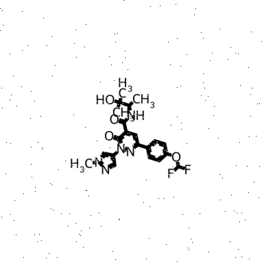 CC(NC(=O)c1cc(-c2ccc(OC(F)F)cc2)nn(-c2cnn(C)c2)c1=O)C(C)(C)O